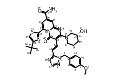 COc1ccc(Cn2nnnc2C=Cc2c(N3CCC[C@@H](O)C3)nc3cc(C(N)=O)cc(-c4nc(C(C)(C)C)cs4)n3c2=O)cc1